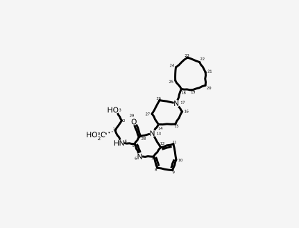 O=C(O)[C@H](CO)Nc1nc2ccccc2n(C2CCN(C3CCCCCCC3)CC2)c1=O